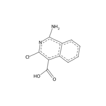 Nc1nc(Cl)c(C(=O)O)c2ccccc12